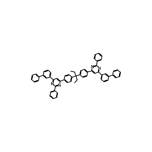 CCC(CC)(c1ccc(-c2cc(-c3cccc(-c4ccccc4)c3)nc(-c3ccccc3)n2)cc1)c1ccc(-c2cc(-c3cccc(-c4ccccc4)c3)nc(-c3ccccc3)n2)cc1